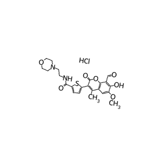 COc1cc2c(C)c(-c3ccc(C(=O)NCCN4CCOCC4)s3)c(=O)oc2c(C=O)c1O.Cl